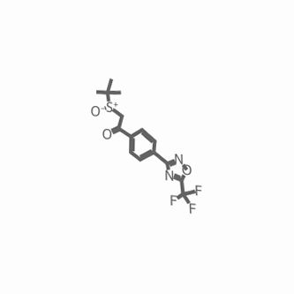 CC(C)(C)[S+]([O-])CC(=O)c1ccc(-c2noc(C(F)(F)F)n2)cc1